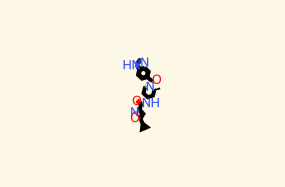 C[C@H]1C[C@@H](NC(=O)c2cc(C3CC3)on2)CCN1C(=O)c1ccc2[nH]cnc2c1